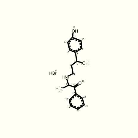 Br.CC(NCCC(O)c1ccc(O)cc1)C(=O)c1ccccc1